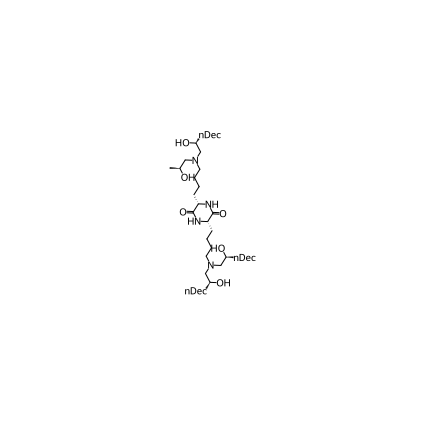 CCCCCCCCCC[C@H](O)CN(CCCC[C@@H]1NC(=O)[C@H](CCCCN(C[C@@H](O)CCCCCCCCCC)C[C@H](C)O)NC1=O)C[C@@H](O)CCCCCCCCCC